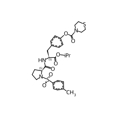 Cc1ccc(S(=O)(=O)N2CCC[C@H]2C(=O)N[C@@H](Cc2ccc(OC(=O)N3CCSCC3)cc2)C(=O)OC(C)C)cc1